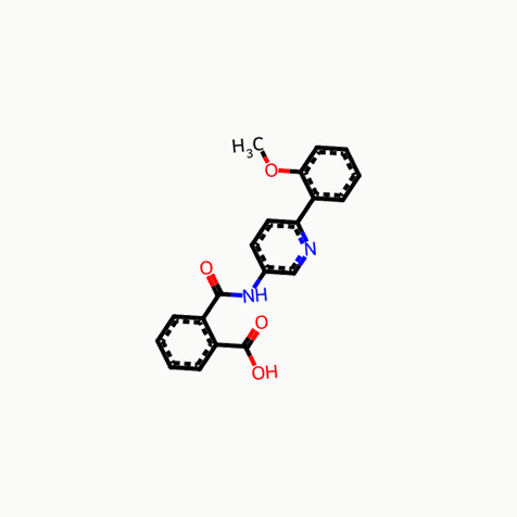 COc1ccccc1-c1ccc(NC(=O)c2ccccc2C(=O)O)cn1